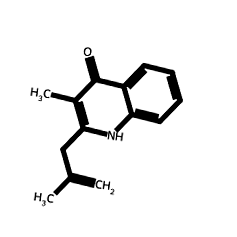 C=C(C)Cc1[nH]c2ccccc2c(=O)c1C